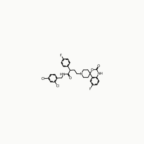 O=C1Nc2ccc(F)cc2C2(CCN(CCC(C(=O)NCc3ccc(Cl)cc3Cl)c3ccc(F)cc3)CC2)O1